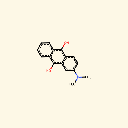 CN(C)c1ccc2c(O)c3ccccc3c(O)c2c1